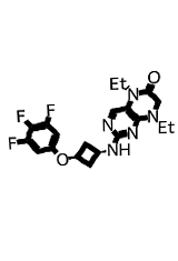 CCN1CC(=O)N(CC)c2cnc(N[C@H]3C[C@H](Oc4cc(F)c(F)c(F)c4)C3)nc21